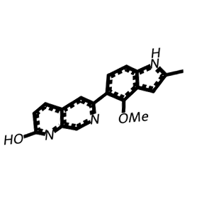 COc1c(-c2cc3ccc(O)nc3cn2)ccc2[nH]c(C)cc12